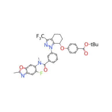 Cc1nc2cc(F)c(N(C)C(=O)c3cccc(-n4nc(C(F)(F)F)c5c4C(Oc4ccc(C(=O)OC(C)(C)C)cc4)CCC5)c3)cc2o1